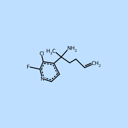 C=CCCC(C)(N)c1ccnc(F)c1Cl